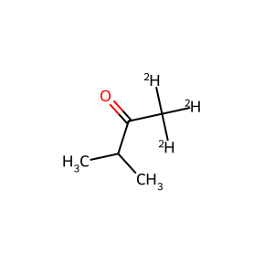 [2H]C([2H])([2H])C(=O)C(C)C